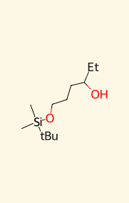 CCC(O)CCCO[Si](C)(C)C(C)(C)C